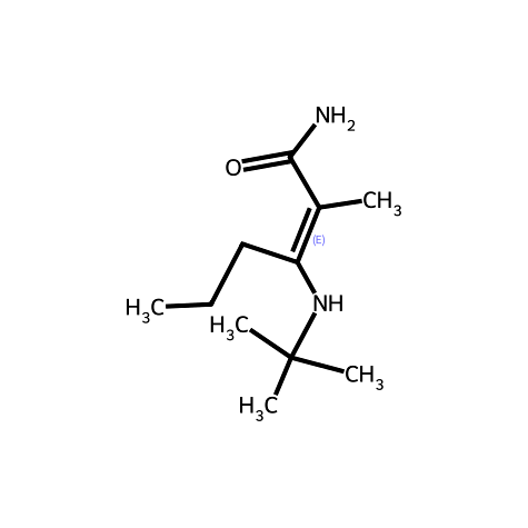 CCC/C(NC(C)(C)C)=C(/C)C(N)=O